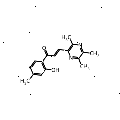 Cc1ccc(C(=O)/C=C/c2nc(C)c(C)nc2C)c(O)c1